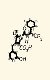 O=C(O)[C@@H]1[C@@H](Cc2ccnc(O)c2)C(=O)N1C(=O)N[C@@H](C1CCCCC1)C(F)(F)F